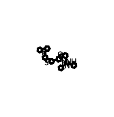 C1=CC(C2N=C(c3ccccc3)N=C(c3ccccc3)N2)C2C(=C1)Oc1cc(-c3ccc4sc5ccc(-n6c7ccccc7c7ccccc76)cc5c4c3)ccc12